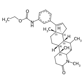 CCOC(=O)Nc1cccc(C2=CC[C@H]3[C@@H]4C(C)CC5N(C)C(=O)CC[C@]5(C)[C@@H]4CC[C@]23C)c1